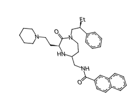 CC[C@H](CN1CCC(CNC(=O)c2ccc3ccccc3c2)N[C@@H](CCN2CCCCC2)C1=O)c1ccccc1